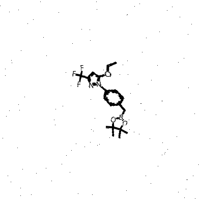 CCOc1cc(C(F)(F)F)nn1-c1ccc(CB2OC(C)(C)C(C)(C)O2)cc1